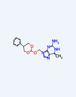 C=C1NC(N)=Nc2c1ncn2COC1OCC(c2ccccc2)CO1